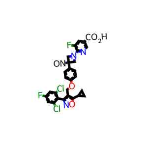 O=NC1(c2ccc(OCc3c(-c4c(Cl)cc(F)cc4Cl)noc3C3CC3)cc2)CN(c2ncc(C(=O)O)cc2F)C1